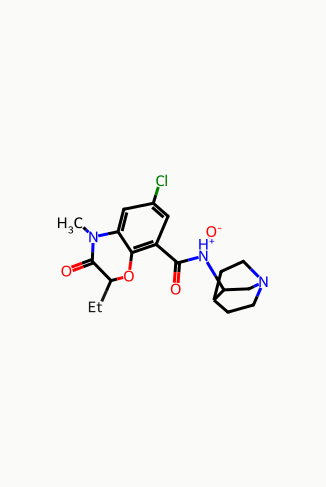 CCC1Oc2c(C(=O)[NH+]([O-])C3CN4CCC3CC4)cc(Cl)cc2N(C)C1=O